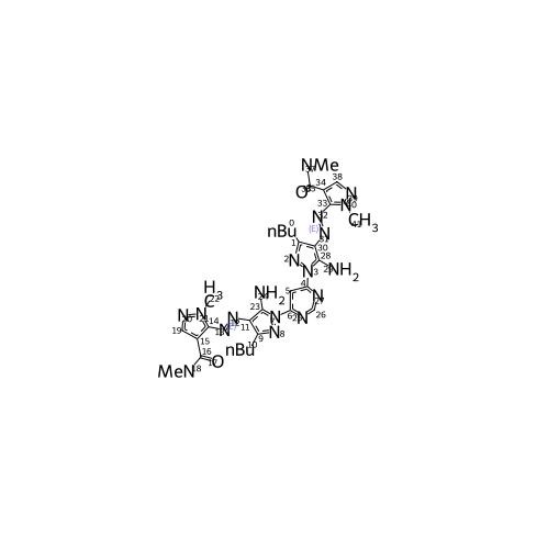 CCCCc1nn(-c2cc(-n3nc(CCCC)c(/N=N/c4c(C(=O)NC)cnn4C)c3N)ncn2)c(N)c1/N=N/c1c(C(=O)NC)cnn1C